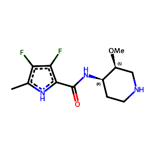 CO[C@H]1CNCC[C@H]1NC(=O)c1[nH]c(C)c(F)c1F